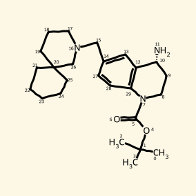 CC(C)(C)OC(=O)N1CC[C@@H](N)c2cc(CN3CCCC4(CCCCC4)C3)ccc21